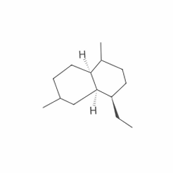 CC[C@@H]1CCC(C)[C@@H]2CCC(C)C[C@H]12